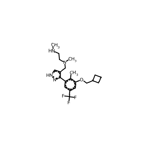 CNCCN(C)Cc1c[nH]nc1-c1cc(C(F)(F)F)cc(OCC2CCC2)c1C